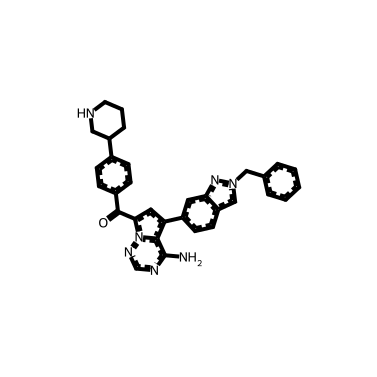 Nc1ncnn2c(C(=O)c3ccc(C4CCCNC4)cc3)cc(-c3ccc4cn(Cc5ccccc5)nc4c3)c12